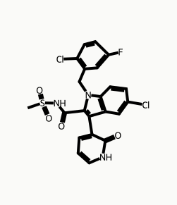 CS(=O)(=O)NC(=O)c1c(-c2ccc[nH]c2=O)c2cc(Cl)ccc2n1Cc1cc(F)ccc1Cl